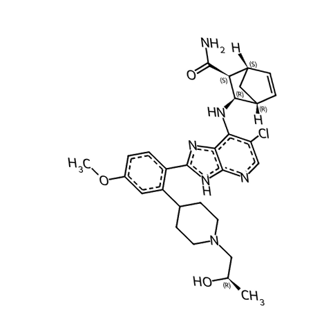 COc1ccc(-c2nc3c(N[C@H]4[C@@H](C(N)=O)[C@@H]5C=C[C@H]4C5)c(Cl)cnc3[nH]2)c(C2CCN(C[C@@H](C)O)CC2)c1